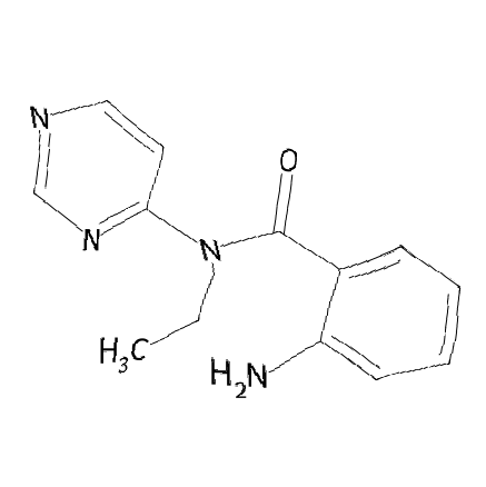 CCN(C(=O)c1ccccc1N)c1ccncn1